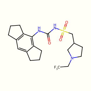 O=C(Nc1c2c(cc3c1CCC3)CCC2)NS(=O)(=O)CC1CCN(CC(F)(F)F)C1